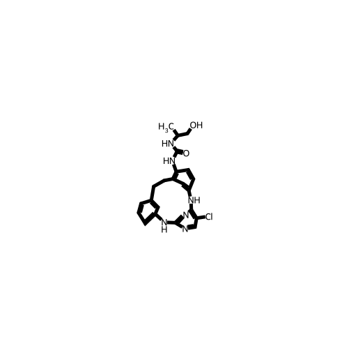 CC(CO)NC(=O)Nc1ccc2cc1CCc1cccc(c1)Nc1ncc(Cl)c(n1)N2